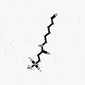 O=[C]CCCCCNC(=O)CCS(=O)(=O)O